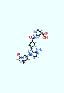 CC1(NC(=O)c2ccc(-c3nc([C@@H]4CC[C@H]5CCC(=O)N5C4)n4ccnc(N)c34)cc2)C=C(C(=O)O)C=CN1